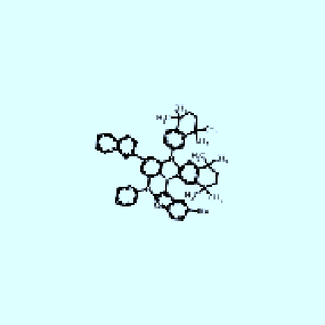 CC(C)(C)c1ccc2oc3c(c2c1)B1c2cc4c(cc2N(c2ccc5c(c2)C(C)(C)CCC5(C)C)c2cc(-c5ccc6ccccc6c5)cc(c21)N3c1ccccc1)C(C)(C)CCC4(C)C